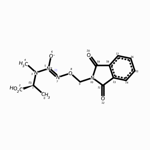 C[C@@H](C(=O)O)N(C)/[N+]([O-])=N/OCN1C(=O)c2ccccc2C1=O